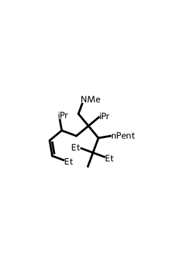 CC/C=C\C(CC(CNC)(C(C)C)C(CCCCC)C(C)(CC)CC)C(C)C